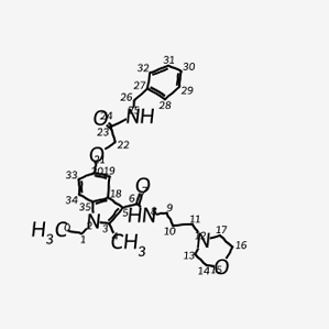 CCn1c(C)c(C(=O)NCCCN2CCOCC2)c2cc(OCC(=O)NCc3ccccc3)ccc21